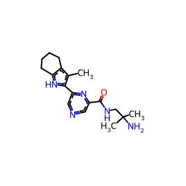 Cc1c(-c2cncc(C(=O)NCC(C)(C)N)n2)[nH]c2c1CCCC2